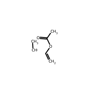 C=COC(C)=O.[CH]C